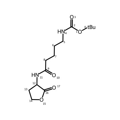 CC(C)(C)OC(=O)NCCCCC(=O)NC1CCOC1=O